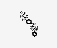 O=C(NC1CCC(NC(=O)NS(=O)(=O)c2ccccc2)CC1)N[SH](=O)=O